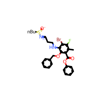 CCCC[S+]([O-])/N=C/CCNc1c(Br)c(F)c(C)c(C(=O)Oc2ccccc2)c1OCc1ccccc1